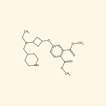 CCN(CC1CCNCC1)C1CC(Oc2ccc(C(=O)OC)c(C(=O)OC)c2)C1